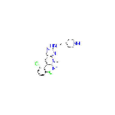 Clc1cccc(Cl)c1C1=Cc2cnc(NCCC3CCNCC3)nc2N2CCN=C12